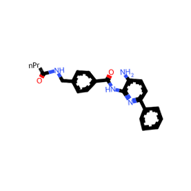 CCCC(=O)NCc1ccc(C(=O)Nc2nc(-c3ccccc3)ccc2N)cc1